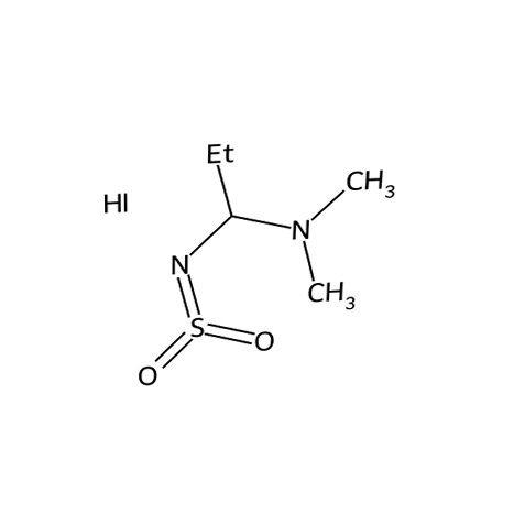 CCC(N=S(=O)=O)N(C)C.I